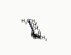 CNCCOP(=O)(O)OCC(COC/C=C(\C)CC/C=C(\C)CCC=C(C)C)OC